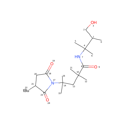 CC(CO)C(C)(C)NC(=O)C(C)(C)CC(C)(C)N1C(=O)CC(C(C)(C)C)C1=O